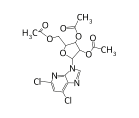 CC(=O)OCC1OC(n2cnc3c(Cl)cc(Cl)nc32)C(OC(C)=O)C1OC(C)=O